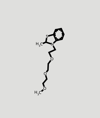 COCCOCCOCCN1c2ccccc2SC1C